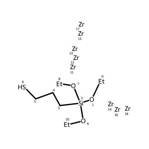 CCO[Si](CCCS)(OCC)OCC.[Zr].[Zr].[Zr].[Zr].[Zr].[Zr].[Zr].[Zr]